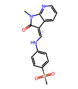 CN1C(=O)/C(=C\Nc2ccc(S(C)(=O)=O)cc2)c2cccnc21